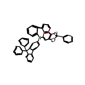 c1ccc(-c2nc3ccc(N(c4ccc5c(c4)C(c4ccccc4)(c4ccccc4)c4ccccc4-5)c4ccccc4-c4ccccc4)cc3o2)cc1